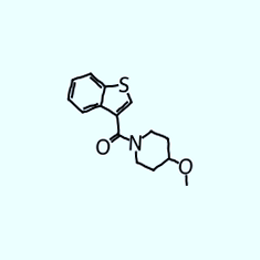 COC1CCN(C(=O)c2csc3ccccc23)CC1